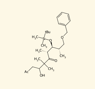 CC(=O)CC(O)C(C)(C)C(=O)[C@H](C)[C@@H](O[Si](C)(C)C(C)(C)C)[C@@H](C)COCc1ccccc1